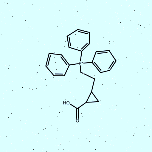 O=C(O)C1CC1CC[P+](c1ccccc1)(c1ccccc1)c1ccccc1.[I-]